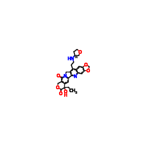 CCC1(O)C(=O)OCc2c1cc1n(c2=O)Cc2c-1nc1cc3c(cc1c2CCN[C@H]1CCOC1)OCO3